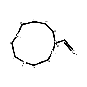 O=[C]N1CCCCCCCCCCC1